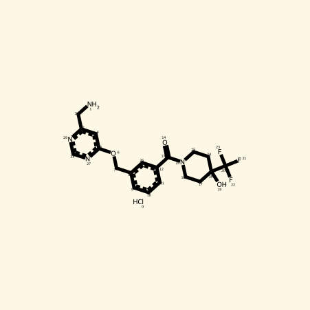 Cl.NCc1cc(OCc2cccc(C(=O)N3CCC(O)(C(F)(F)F)CC3)c2)ncn1